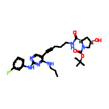 CCCNc1nc(Nc2cccc(F)c2)ncc1C#CCCCNC(=O)[C@@H]1C[C@H](O)CN1C(=O)OC(C)(C)C